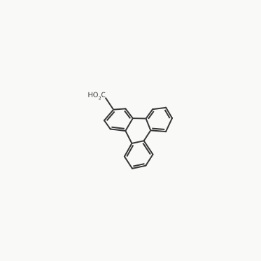 O=C(O)c1ccc2c3ccccc3c3ccccc3c2c1